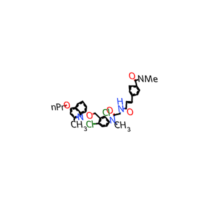 CCCOc1cc(C)nc2c(OCc3c(Cl)ccc(N(C)C(=O)CNC(=O)C=Cc4ccc(C(=O)NC)cc4)c3Cl)cccc12